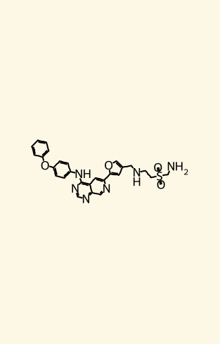 NCS(=O)(=O)CCNCc1coc(-c2cc3c(Nc4ccc(Oc5ccccc5)cc4)ncnc3cn2)c1